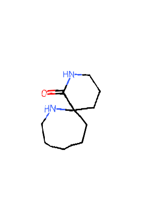 O=C1NCCCC12CCCCCN2